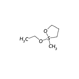 CCOS1(C)CCCO1